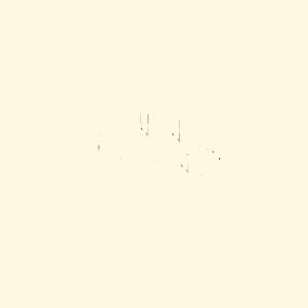 COc1ccc(C)cc1NC(=O)Nc1nc(C)cnc1C